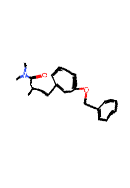 CC(Cc1cccc(OCc2ccccc2)c1)C(=O)N(C)C